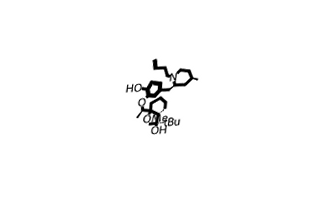 C=CCCN1CC[C@@H](C)C[C@H]1Cc1ccc(O)c(O[C@H](C)C2(OC)CCCC[C@@H]2[C@](C)(O)C(C)(C)C)c1